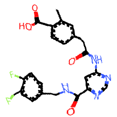 Cc1cc(CC(=O)Nc2cc(C(=O)NCc3ccc(F)c(F)c3)ncn2)ccc1C(=O)O